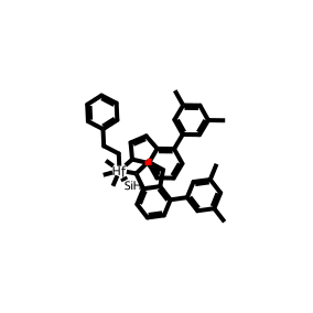 Cc1cc(C)cc(-c2cccc3c2C=C[CH]3[Hf]([CH3])([CH3])([CH3])(=[SiH2])([CH2]Cc2ccccc2)[CH]2C=Cc3c(-c4cc(C)cc(C)c4)cccc32)c1